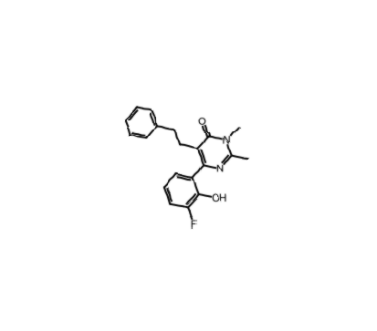 Cc1nc(-c2cccc(F)c2O)c(CCc2ccccc2)c(=O)n1C